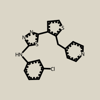 Clc1cccc(Nc2nnc(-c3ccsc3Cc3ccncc3)s2)c1